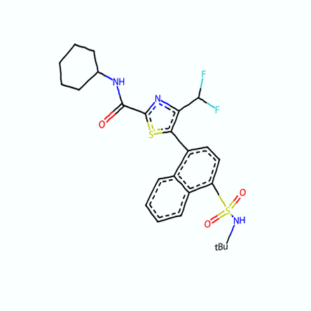 CC(C)(C)NS(=O)(=O)c1ccc(-c2sc(C(=O)NC3CCCCC3)nc2C(F)F)c2ccccc12